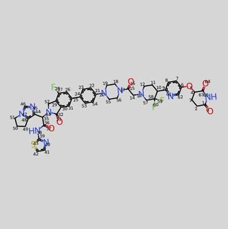 O=C1CCC(Oc2ccc(C3CCN(CC(=O)N4CCN(c5ccc(-c6cc(F)c7c(c6)C(=O)N(C(C(=O)Nc6nccs6)c6ncn8c6CCC8)C7)cc5)CC4)CC3(F)F)nc2)C(=O)N1